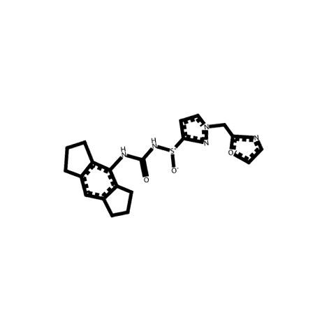 O=C(Nc1c2c(cc3c1CCC3)CCC2)N[S+]([O-])c1ccn(Cc2ncco2)n1